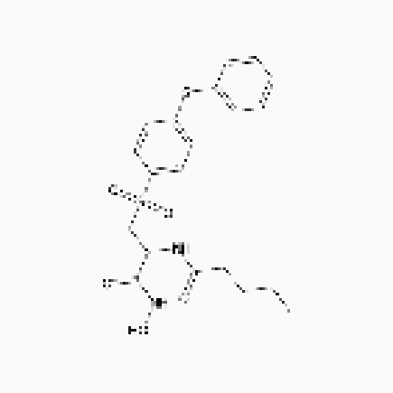 CCCCC(=O)NC(CS(=O)(=O)c1ccc(Sc2ccccc2)cc1)C(=O)NO